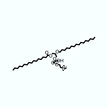 CCCCCCCCCCCCCCCCOC(COC(=O)CCCCCCCCCCCCCCC)COP(=O)(O)OCC[N+](C)(C)C